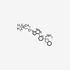 CS(C)(C)CCOCn1ccc2c(-c3cccc(C4(CN)Cc5ccccc5C4)n3)ncnc21